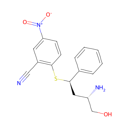 N#Cc1cc([N+](=O)[O-])ccc1S[C@H](C[C@H](N)CO)c1ccccc1